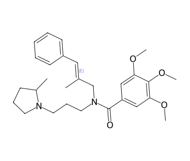 COc1cc(C(=O)N(CCCN2CCCC2C)C/C(C)=C/c2ccccc2)cc(OC)c1OC